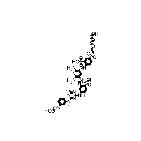 Nc1nc(N)c(/N=N/c2ccc(S(=O)(=O)CCOSOOO)cc2S(=O)(=O)O)cc1/N=N/c1cc(Nc2nc(Cl)nc(Nc3cccc(SOOO)c3)n2)ccc1S(=O)(=O)O